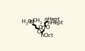 CCCCCCCCC(COC(=O)CC(CCCCCCC)CCCCCCC)OC(=O)CCCN(C)C